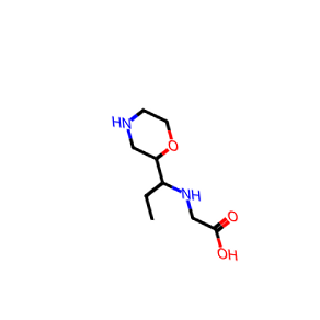 CCC(NCC(=O)O)C1CNCCO1